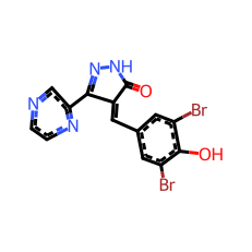 O=C1NN=C(c2cnccn2)C1=Cc1cc(Br)c(O)c(Br)c1